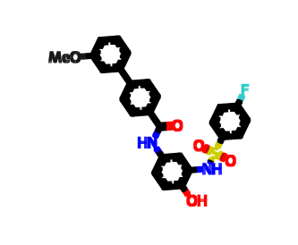 COc1cccc(-c2ccc(C(=O)Nc3ccc(O)c(NS(=O)(=O)c4ccc(F)cc4)c3)cc2)c1